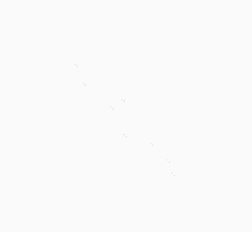 CN(C)c1cccc(Cn2ncc3c4sc(Cc5cc[nH]n5)nc4n(C)c3c2=O)n1